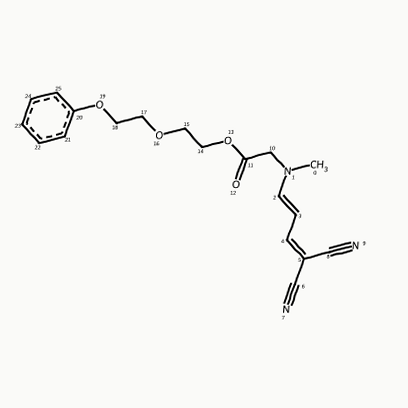 CN(/C=C/C=C(C#N)C#N)CC(=O)OCCOCCOc1ccccc1